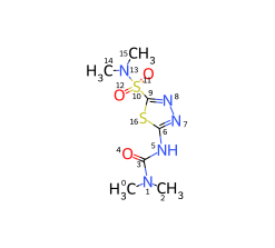 CN(C)C(=O)Nc1nnc(S(=O)(=O)N(C)C)s1